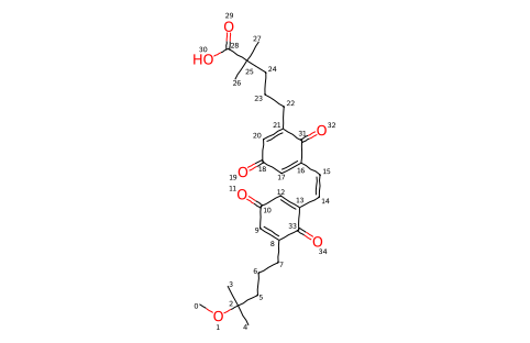 COC(C)(C)CCCC1=CC(=O)C=C(/C=C\C2=CC(=O)C=C(CCCC(C)(C)C(=O)O)C2=O)C1=O